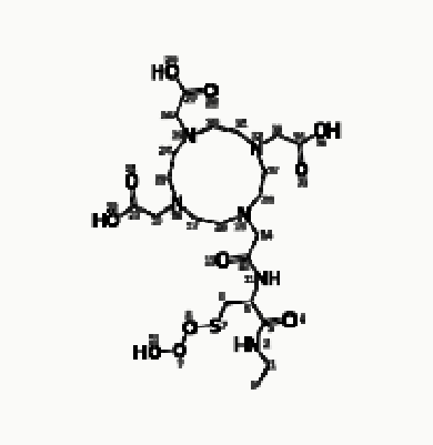 CCNC(=O)[C@@H](CSOOO)NC(=O)CN1CCN(CC(=O)O)CCN(CC(=O)O)CCN(CC(=O)O)CC1